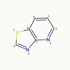 [c]1ccnc2ncsc12